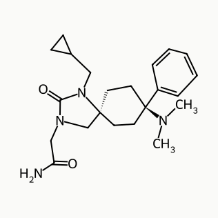 CN(C)[C@]1(c2ccccc2)CC[C@]2(CC1)CN(CC(N)=O)C(=O)N2CC1CC1